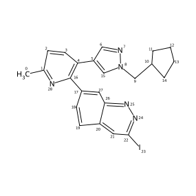 Cc1ccc(-c2cnn(CC3CCCC3)c2)c(-c2ccc3cc(I)nnc3c2)n1